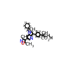 Cc1noc(C)c1-c1cnc2c(-c3ccc(C(C)(C)C(=O)O)cc3)cn(CC3(C)CCCCC3)c2c1